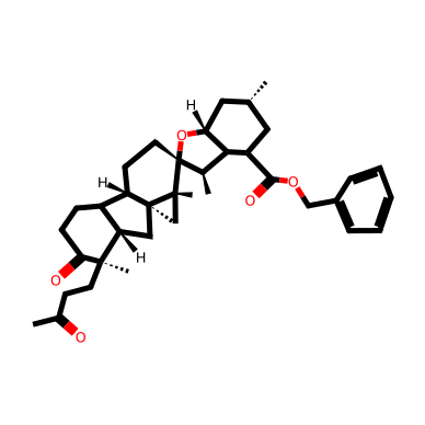 CC(=O)CC[C@@]1(C)C(=O)CCC2[C@@H]3CC[C@]4(O[C@@H]5C[C@H](C)CC(C(=O)OCc6ccccc6)C5[C@H]4C)[C@]4(C)C[C@]34C[C@@H]21